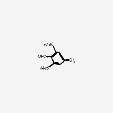 COc1cc(C)cc(SC)c1C=O